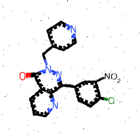 O=c1c2cccnc2c(-c2ccc(Cl)c([N+](=O)[O-])c2)nn1Cc1ccncc1